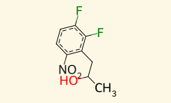 CC(O)Cc1c([N+](=O)[O-])ccc(F)c1F